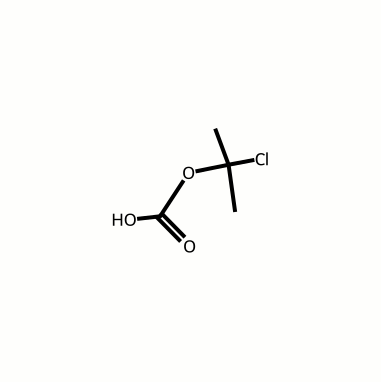 CC(C)(Cl)OC(=O)O